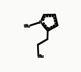 CC(C)(C)CCc1cccn1C(C)(C)C